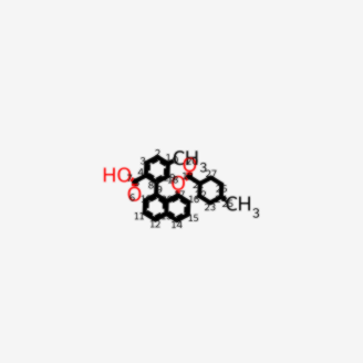 Cc1ccc(C(=O)O)c(-c2cccc3cccc(OC(=O)C4CCC(C)CC4)c23)c1